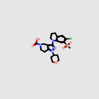 CS(=O)(=O)c1cc2c(cc1Br)CCCN2c1nn(C2CCOCC2)c2c1CN(C(=O)O)CC2